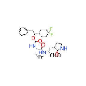 CC(C)C[C@H](NC(=O)OC(Cc1ccccc1)C1CCC(F)(F)CC1)C(=O)N[C@H](C=O)C[C@@H]1CCNC1=O